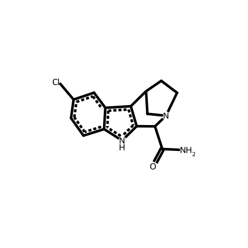 NC(=O)C1c2[nH]c3ccc(Cl)cc3c2C2CCN1C2